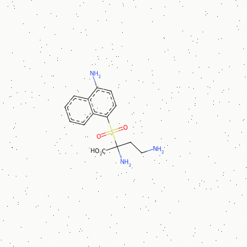 NCCC(N)(C(=O)O)S(=O)(=O)c1ccc(N)c2ccccc12